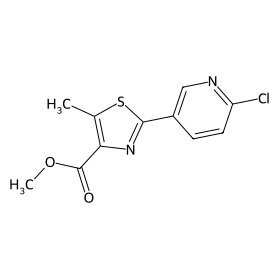 COC(=O)c1nc(-c2ccc(Cl)nc2)sc1C